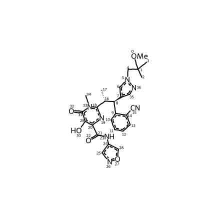 COC(C)(C)Cn1cc([C@@H](c2ccccc2C#N)[C@@H](C)c2nc(C(=O)Nc3cnoc3)c(O)c(=O)n2C)cn1